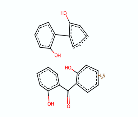 O=C(c1ccccc1O)c1ccccc1O.Oc1ccccc1-c1ccccc1O.S